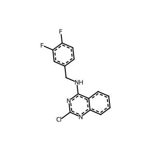 Fc1ccc(CNc2nc(Cl)nc3ccccc23)cc1F